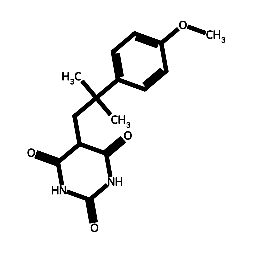 COc1ccc(C(C)(C)CC2C(=O)NC(=O)NC2=O)cc1